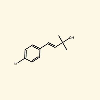 CC(C)(O)/C=C/c1ccc(Br)cc1